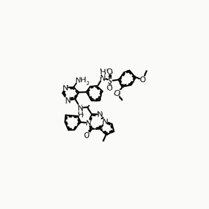 COc1ccc(S(=O)(=O)Nc2cccc(-c3c(N)ncnc3N[C@@H](C)c3nn4ccc(C)c4c(=O)n3-c3ccccc3)c2)c(OC)c1